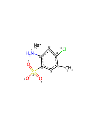 Cc1cc(S(=O)(=O)[O-])c(N)cc1Cl.[Na+]